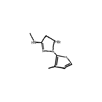 Br.CNC1=NN(c2sccc2C)CC1